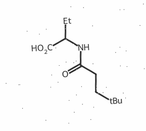 CCC(NC(=O)CCC(C)(C)C)C(=O)O